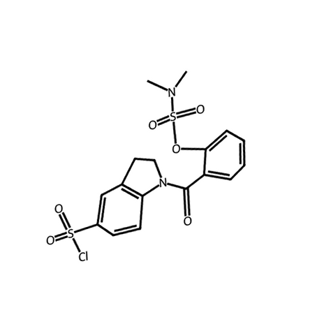 CN(C)S(=O)(=O)Oc1ccccc1C(=O)N1CCc2cc(S(=O)(=O)Cl)ccc21